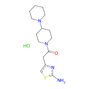 Cl.Nc1nc(CC(=O)N2CCC(N3CCCCC3)CC2)cs1